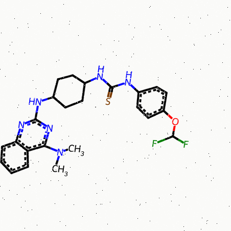 CN(C)c1nc(NC2CCC(NC(=S)Nc3ccc(OC(F)F)cc3)CC2)nc2ccccc12